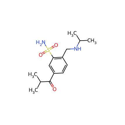 CC(C)NCc1ccc(C(=O)C(C)C)cc1S(N)(=O)=O